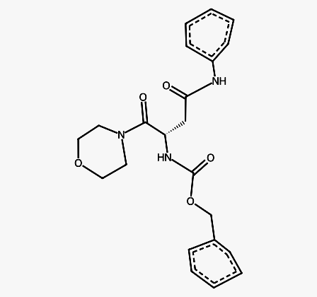 O=C(C[C@H](NC(=O)OCc1ccccc1)C(=O)N1CCOCC1)Nc1ccccc1